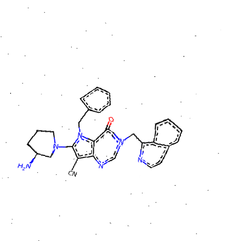 N#Cc1c(N2CCC[C@H](N)C2)n(Cc2ccccc2)c2c(=O)n(Cc3nccc4ccccc34)cnc12